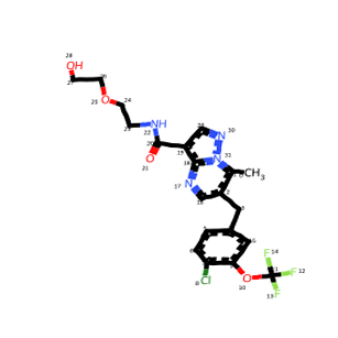 Cc1c(Cc2ccc(Cl)c(OC(F)(F)F)c2)cnc2c(C(=O)NCCOCCO)cnn12